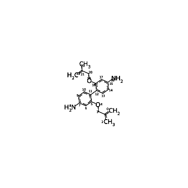 C=C(C)COc1cc(N)ccc1-c1ccc(N)cc1OCC(=C)C